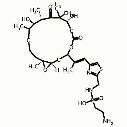 C/C(=C\c1csc(CNP(=O)(O)CCN)n1)C1C[C@H]2O[C@@]2(C)CCC[C@@H](C)[C@@H](O)[C@H](C)C(=O)C(C)(C)[C@H](O)CC(=O)O1